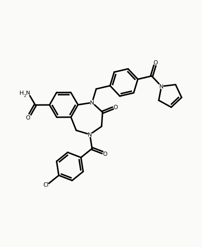 NC(=O)c1ccc2c(c1)CN(C(=O)c1ccc(Cl)cc1)CC(=O)N2Cc1ccc(C(=O)N2CC=CC2)cc1